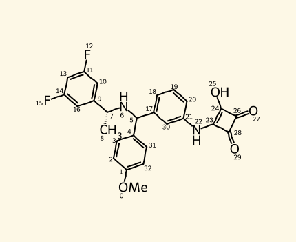 COc1ccc(C(N[C@H](C)c2cc(F)cc(F)c2)c2cccc(Nc3c(O)c(=O)c3=O)c2)cc1